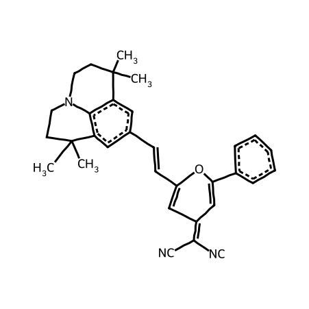 [C-]#[N+]/C(C#N)=C1C=C(/C=C/c2cc3c4c(c2)C(C)(C)CCN4CCC3(C)C)OC(c2ccccc2)=C/1